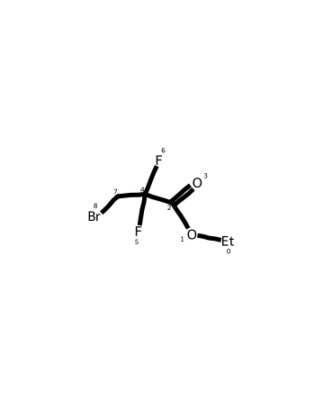 CCOC(=O)C(F)(F)CBr